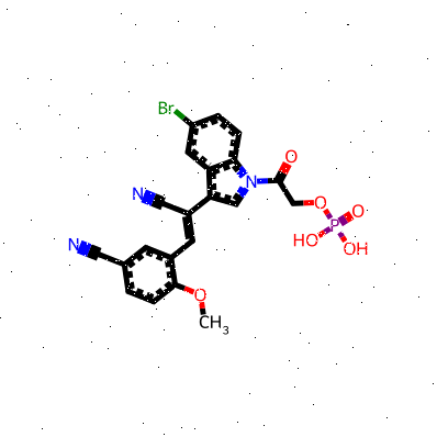 COc1ccc(C#N)cc1/C=C(\C#N)c1cn(C(=O)COP(=O)(O)O)c2ccc(Br)cc12